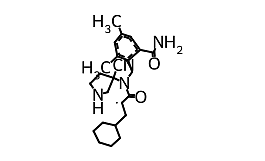 Cc1cc(C)c(CN(C(=O)[CH]CC2CCCCC2)C2(C#N)CCNC2)c(C(N)=O)c1